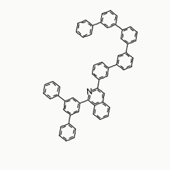 c1ccc(-c2cccc(-c3cccc(-c4cccc(-c5cccc(-c6cc7ccccc7c(-c7cc(-c8ccccc8)cc(-c8ccccc8)c7)n6)c5)c4)c3)c2)cc1